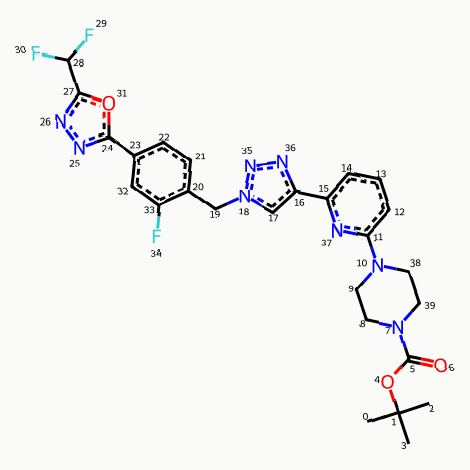 CC(C)(C)OC(=O)N1CCN(c2cccc(-c3cn(Cc4ccc(-c5nnc(C(F)F)o5)cc4F)nn3)n2)CC1